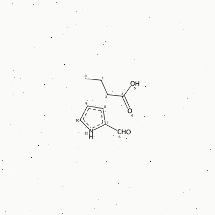 CCCC(=O)O.O=Cc1ccc[nH]1